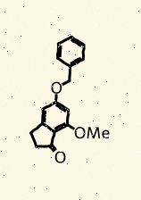 COc1cc(OCc2ccccc2)cc2c1C(=O)CC2